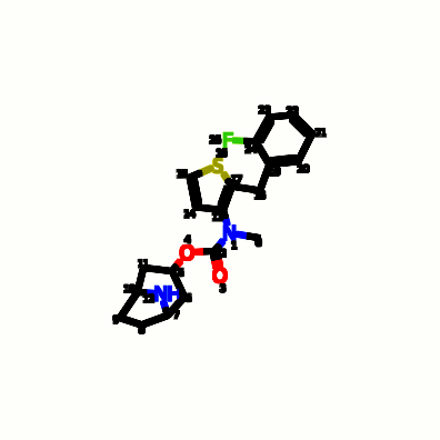 CN(C(=O)OC1CC2CCC(C1)N2)c1ccsc1Cc1ccccc1F